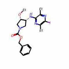 CCO[C@H]1CN(C(=O)OCc2ccccc2)C[C@H]1Nc1nc(CC)c(I)nc1CC